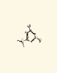 CCc1cc(Cl)cc([SH](C)C)c1